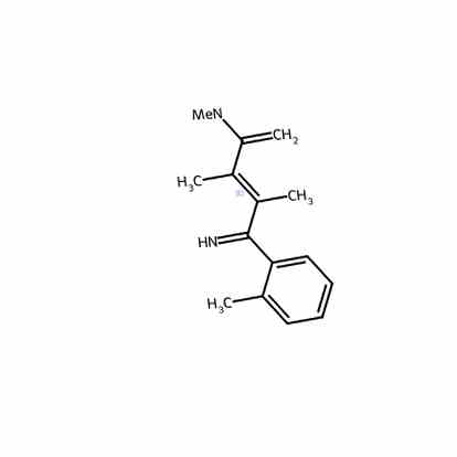 C=C(NC)/C(C)=C(\C)C(=N)c1ccccc1C